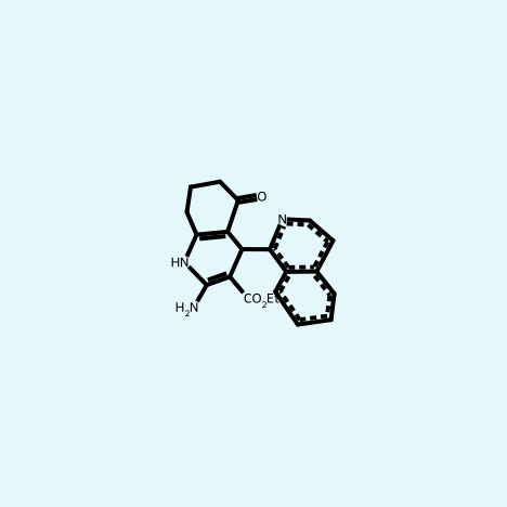 CCOC(=O)C1=C(N)NC2=C(C(=O)CCC2)C1c1nccc2ccccc12